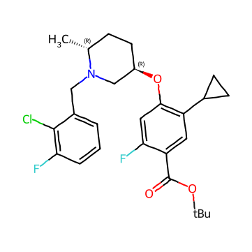 C[C@@H]1CC[C@@H](Oc2cc(F)c(C(=O)OC(C)(C)C)cc2C2CC2)CN1Cc1cccc(F)c1Cl